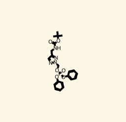 CC(C)(C)OC(=O)NCc1cnn(COP(=O)(Oc2ccccc2)Oc2ccccc2)n1